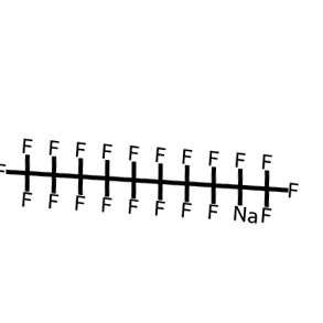 FC(F)(F)C(F)(F)C(F)(F)C(F)(F)C(F)(F)C(F)(F)C(F)(F)C(F)(F)[C](F)([Na])C(F)(F)F